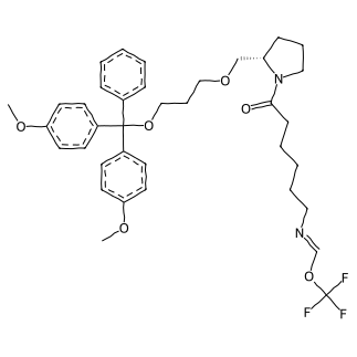 COc1ccc(C(OCCCOC[C@@H]2CCCN2C(=O)CCCCCN=COC(F)(F)F)(c2ccccc2)c2ccc(OC)cc2)cc1